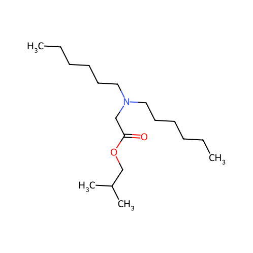 CCCCCCN(CCCCCC)CC(=O)OCC(C)C